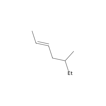 CC=CCC(C)CC